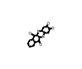 O=c1cc2nc3c(=O)c4ccccc4c(=O)c3nc2cc1=O